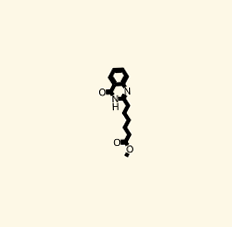 COC(=O)CCCCCc1nc2ccccc2c(=O)[nH]1